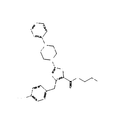 COc1ccc(Cc2nc(N3CCN(c4ccncc4)CC3)sc2C(=O)NCCC(=O)O)cc1